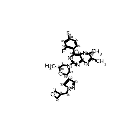 Cc1nc2nc(N3C[C@@H](C)O[C@@H](c4cnn(CC5COC5)c4)C3)nc(-c3ccc(F)cc3F)c2nc1C